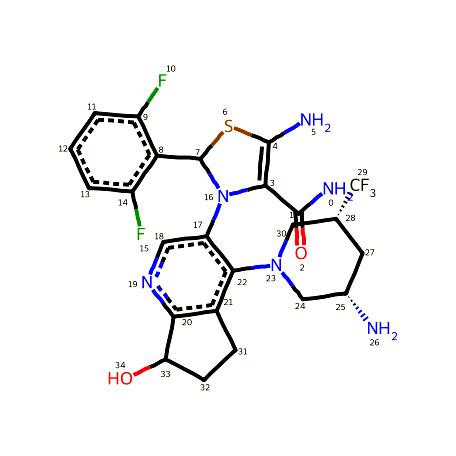 NC(=O)C1=C(N)SC(c2c(F)cccc2F)N1c1cnc2c(c1N1C[C@@H](N)C[C@@H](C(F)(F)F)C1)CCC2O